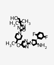 C[C@H](Oc1cnc(N2C[C@H](C3=CC(F)CC=C3F)[C@@H](N)C2)nc1)C1CCN(c2nc(C(C)(C)CO)no2)CC1